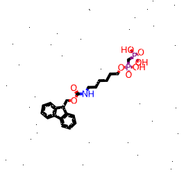 O=C(NCCCCCCOP(=O)(O)CP(=O)(O)O)OCC1c2ccccc2-c2ccccc21